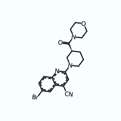 N#Cc1cc(N2CCC[C@H](C(=O)N3CCOCC3)C2)nc2ccc(Br)cc12